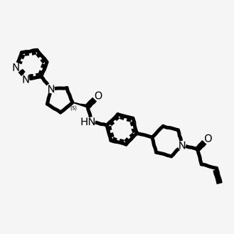 C=CCC(=O)N1CCC(c2ccc(NC(=O)[C@H]3CCN(c4cccnn4)C3)cc2)CC1